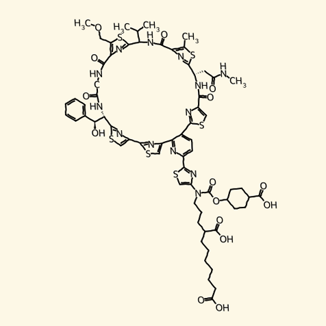 CNC(=O)C[C@@H]1NC(=O)c2csc(n2)-c2ccc(-c3nc(N(CCCC(CCCCCCC(=O)O)C(=O)O)C(=O)OC4CCC(C(=O)O)CC4)cs3)nc2-c2csc(n2)-c2csc(n2)[C@H]([C@@H](O)c2ccccc2)NC(=O)CNC(=O)c2nc(sc2COC)C(C(C)C)NC(=O)c2nc1sc2C